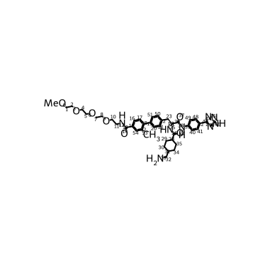 COCCOCCOCCOCCNC(=O)c1ccc(-c2ccc(C[C@H](NC(=O)C3CCC(CN)CC3)C(=O)Nc3ccc(-c4nn[nH]n4)cc3)cc2)c(C)c1